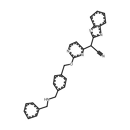 N#CC(c1ccnc(OCc2ccc(CNCc3ccccc3)cc2)n1)c1nc2ccccc2s1